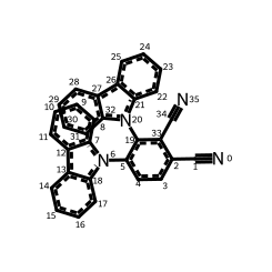 N#Cc1ccc(-n2c3ccccc3c3ccccc32)c(-n2c3ccccc3c3ccccc32)c1C#N